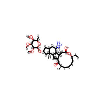 CC[C@H]1CCCC[C@@H](C)C(=O)C2=CC3[C@@H]4C[C@H](OC5OC(C)C(OC)C(OC)C5OC)CC4CC(N)[C@H]3[C@@H]2CC(=O)O1